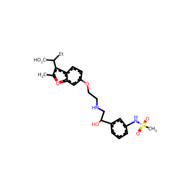 CCC(C(=O)O)c1c(C)oc2cc(OCCNC[C@H](O)c3cccc(NS(C)(=O)=O)c3)ccc12